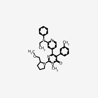 CCN(c1ccccc1)c1cc(-c2nc(N3CCCC3COC)n(C)c(=O)c2-c2cccc(C)c2)ccn1